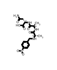 C[C@H](NCc1ccc([N+](=O)[O-])cc1)C(=O)N[C@H](C)C(=O)N[C@@H](CC(N)=O)C(=O)O